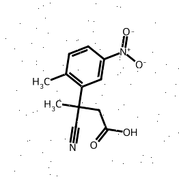 Cc1ccc([N+](=O)[O-])cc1C(C)(C#N)CC(=O)O